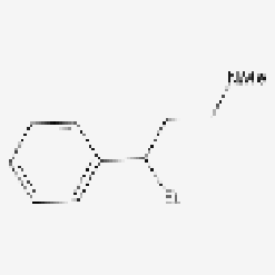 CCC(CCNC)c1ccccc1